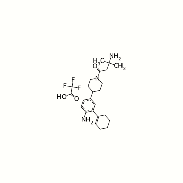 CC(C)(N)CC(=O)N1CCC(c2ccc(N)c(C3=CCCCC3)c2)CC1.O=C(O)C(F)(F)F